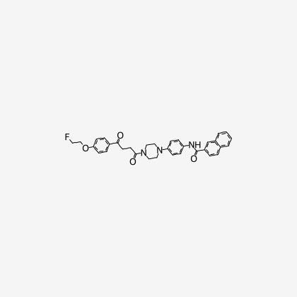 O=C(CCC(=O)N1CCN(c2ccc(NC(=O)c3ccc4ccccc4c3)cc2)CC1)c1ccc(OCCF)cc1